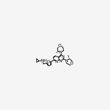 C[C@H]1COCCN1c1nc(N2CCOC[C@@H]2C)c2ccc(-c3ccc(CNC4CC4)o3)nc2n1